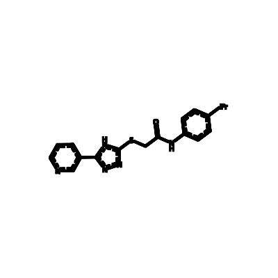 CC(C)c1ccc(NC(=O)CSc2nnc(-c3cccnc3)[nH]2)cc1